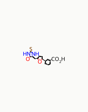 O=C1NC(=S)N/C1=C\c1ccc(-c2cccc(C(=O)O)c2)o1